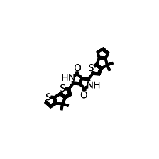 CC1(C)C2=C(CC=C2)c2sc(C3=C4C(=O)NC(c5cc6c(s5)-c5sccc5C6(C)C)=C4C(=O)N3)cc21